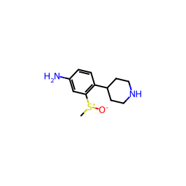 C[S+]([O-])c1cc(N)ccc1C1CCNCC1